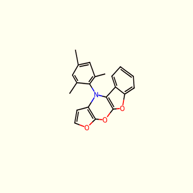 Cc1cc(C)c(N2c3ccoc3Oc3oc4ccccc4c32)c(C)c1